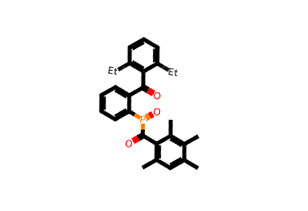 CCc1cccc(CC)c1C(=O)c1ccccc1[P](=O)C(=O)c1c(C)cc(C)c(C)c1C